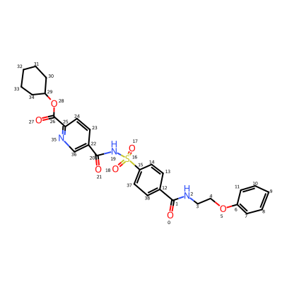 O=C(NCCOc1ccccc1)c1ccc(S(=O)(=O)NC(=O)c2ccc(C(=O)OC3CCCCC3)nc2)cc1